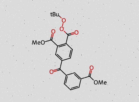 COC(=O)c1cccc(C(=O)c2ccc(C(=O)OOC(C)(C)C)c(C(=O)OC)c2)c1